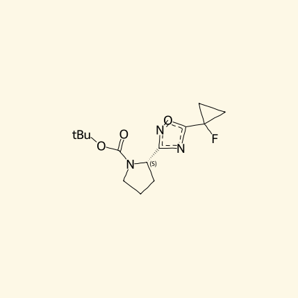 CC(C)(C)OC(=O)N1CCC[C@H]1c1noc(C2(F)CC2)n1